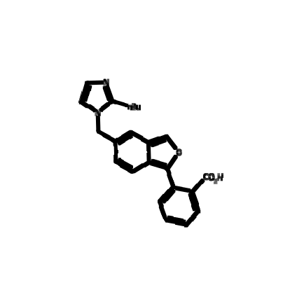 CCCCc1nccn1Cc1ccc2c(-c3ccccc3C(=O)O)occ2c1